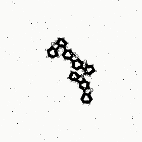 c1ccc2c(c1)oc1cc3c(cc12)c1ccccc1n3-c1cccc2oc3c(ccc4c5ccc(-c6cccc7oc8ccccc8c67)cc5oc43)c12